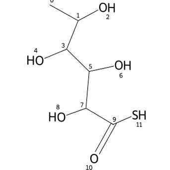 CC(O)C(O)C(O)C(O)C(=O)S